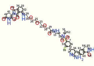 Nc1ncc(-c2ccc(S(=O)(=O)N(CCCNC(=O)CCOCCOCCOCCNc3cccc4c3C(=O)N(C3CCC(=O)NC3=O)C4=O)C3CC3)cc2F)cc1-c1ccc2c(c1)CCNC2=O